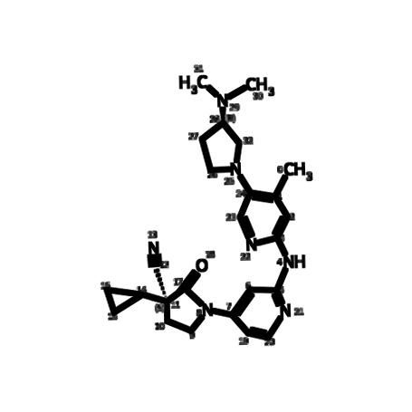 Cc1cc(Nc2cc(N3CC[C@@](C#N)(C4CC4)C3=O)ccn2)ncc1N1CC[C@@H](N(C)C)C1